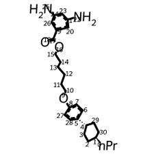 CCC[C@H]1CC[C@H](c2ccc(OCCCCCCOC(=O)c3cc(N)cc(N)c3)cc2)CC1